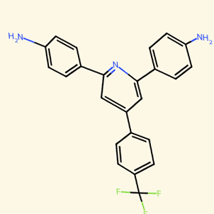 Nc1ccc(-c2cc(-c3ccc(C(F)(F)F)cc3)cc(-c3ccc(N)cc3)n2)cc1